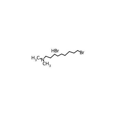 Br.CN(C)CCCCCCCCCBr